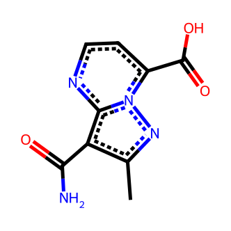 Cc1nn2c(C(=O)O)ccnc2c1C(N)=O